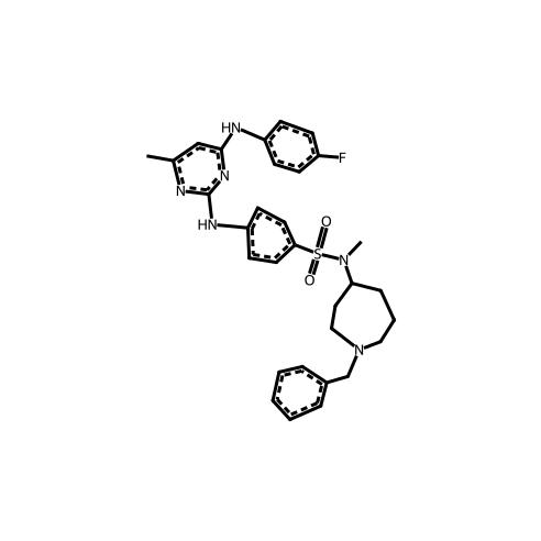 Cc1cc(Nc2ccc(F)cc2)nc(Nc2ccc(S(=O)(=O)N(C)C3CCCN(Cc4ccccc4)CC3)cc2)n1